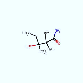 CCCC(CCC)(C(N)=O)C(O)(CC(=O)O)C(=O)O